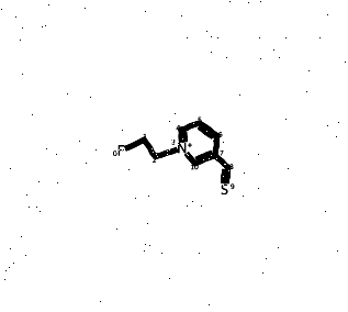 FCC[n+]1cccc([C]=S)c1